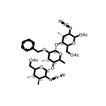 CC(=O)OCC1O[C@H](O[C@@H]2C(C)O[C@@H](O[C@@H]3C(COC(C)=O)OC(OC(C)=O)C(N=[N+]=[N-])[C@H]3C)C(OCc3ccccc3)[C@H]2C)C(N=[N+]=[N-])[C@@H](C)[C@@H]1C